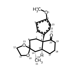 COc1ccc([C@]23CCC4(OCCO4)[C@@H](C)[C@@H]2CCCC3=O)cc1